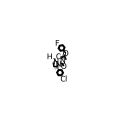 C[C@H]1[C@@H](Oc2ccc(F)cc2)CN1C(=O)N1N=CC[C@H]1c1ccc(Cl)cc1